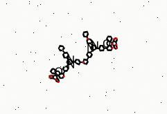 c1ccc(-c2ccc(-c3cc(-c4ccc(-c5cccc6c5Oc5ccccc5C65c6ccccc6-c6ccccc65)cc4)nc(-c4ccc(-c5cccc(-c6ccc(-c7cc(-c8ccc(-c9cccc%10c9Oc9ccccc9C%109c%10ccccc%10-c%10ccccc%109)cc8)nc(-c8ccc(-c9ccccc9)cc8)n7)cc6)c5)cc4)n3)cc2)cc1